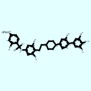 CCCCCc1ccc(C(F)(F)Oc2cc(F)c(CCC3CCC(c4ccc(-c5cc(F)c(F)c(F)c5)c(F)c4)CC3)c(F)c2)c(F)c1